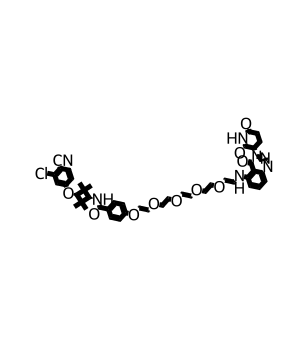 CC1(C)[C@H](NC(=O)c2ccc(OCCOCCOCCOCCOCCNc3cccc4nnn(C5CCC(=O)NC5=O)c(=O)c34)cc2)C(C)(C)[C@H]1Oc1ccc(C#N)c(Cl)c1